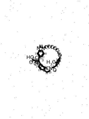 Cc1cc2ccc1C(=O)N1CCc3ccc(cc3C1)[C@H](C(C)(C)C(=O)O)c1ccc3c(c1)nnn3CCCCCCO2